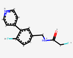 O=C(CF)NCc1ccc(F)c(-c2ccncc2)c1